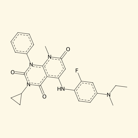 CCN(C)c1ccc(Nc2cc(=O)n(C)c3c2c(=O)n(C2CC2)c(=O)n3-c2ccccc2)c(F)c1